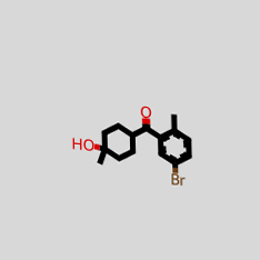 Cc1ccc(Br)cc1C(=O)C1CCC(C)(O)CC1